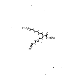 CC(C)(C)OC(=O)N(CCCCCCC(=O)O)CCOCCN=[N+]=[N-]